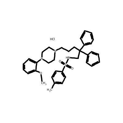 COc1ccccc1N1CCN(CCCC(CNS(=O)(=O)c2ccc(C)cc2)(c2ccccc2)c2ccccc2)CC1.Cl